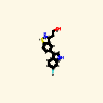 OCCC1NSc2ccc(-c3c[nH]c4cc(F)ccc34)cc21